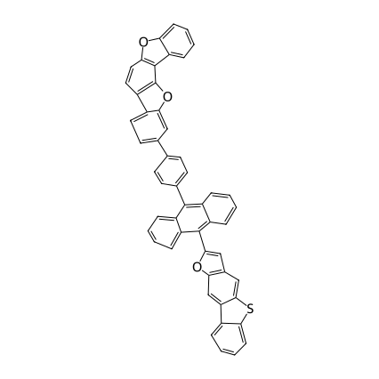 c1ccc2c(c1)oc1ccc3c4ccc(-c5ccc(-c6c7ccccc7c(-c7cc8cc9sc%10ccccc%10c9cc8o7)c7ccccc67)cc5)cc4oc3c12